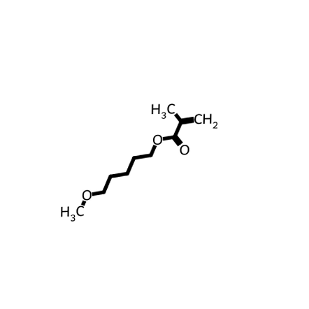 C=C(C)C(=O)OCCCCCOC